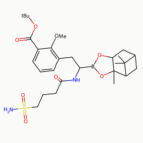 COc1c(CC(NC(=O)CCCS(N)(=O)=O)B2OC3CC4CC(C4(C)C)C3(C)O2)cccc1C(=O)OC(C)(C)C